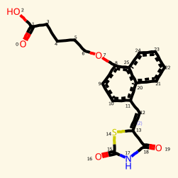 O=C(O)CCCCOc1ccc(/C=C2\SC(=O)NC2=O)c2ccccc12